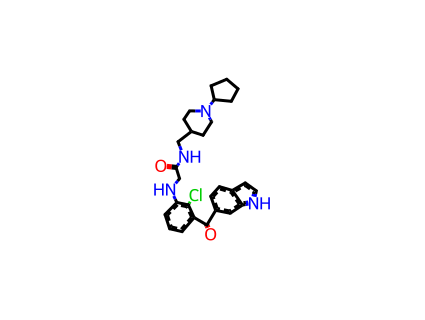 O=C(CNc1cccc(C(=O)c2ccc3cc[nH]c3c2)c1Cl)NCC1CCN(C2CCCC2)CC1